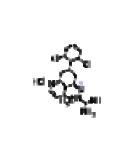 Cc1ccnc2c1/C(=N\NC(=N)N)CC(c1c(Cl)cccc1Cl)C2.Cl